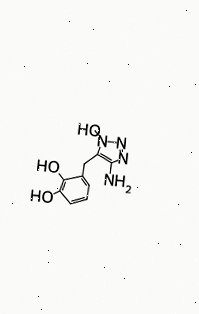 Nc1nnn(O)c1Cc1cccc(O)c1O